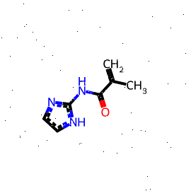 C=C(C)C(=O)Nc1ncc[nH]1